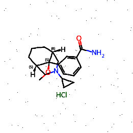 CO[C@]1(c2cccc(C(N)=O)c2)[C@@H]2CCC[C@H]1CN(C1CC1)C2.Cl